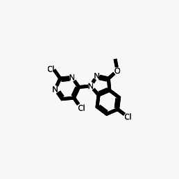 COc1nn(-c2nc(Cl)ncc2Cl)c2ccc(Cl)cc12